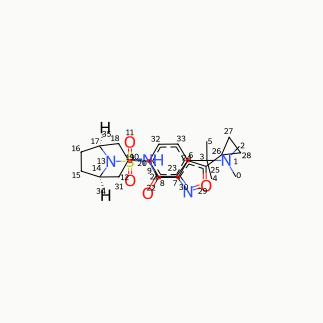 CN(C)C(C)(C)c1ccc(S(=O)(=O)N2[C@@H]3CC[C@H]2C[C@@H](NC(=O)c2cc(C4CC4)on2)C3)cc1